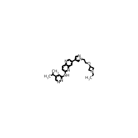 CCN1CC(OCCn2cc(-c3cnc4ccc(Nc5cc(C(C)C)cnn5)nc4c3)cn2)C1